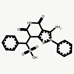 Nc1c2c(nn1-c1ccccc1)C(C(c1ccccc1)S(=O)(=O)O)C(=O)NC2=O